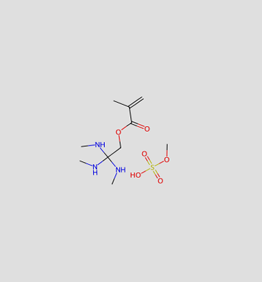 C=C(C)C(=O)OCC(NC)(NC)NC.COS(=O)(=O)O